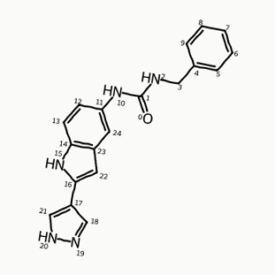 O=C(NCc1ccccc1)Nc1ccc2[nH]c(-c3cn[nH]c3)cc2c1